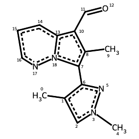 Cc1cn(C)nc1-c1c(C)c(C=O)c2cccnn12